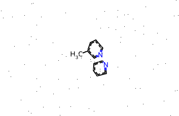 Cc1cccnc1.c1ccncc1